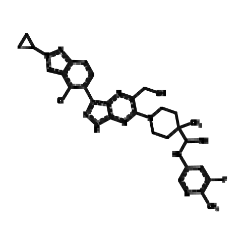 Cc1ncc(NC(=N)C2(C)CCN(c3nc4[nH]nc(-c5ccc6nn(C7CC7)cc6c5Cl)c4nc3CO)CC2)cc1F